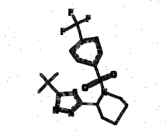 CC(C)(C)c1nnc(C2CCCCN2S(=O)(=O)c2ccc(C(F)(F)F)cc2)s1